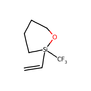 C=C[Si]1(C(F)(F)F)CCCCO1